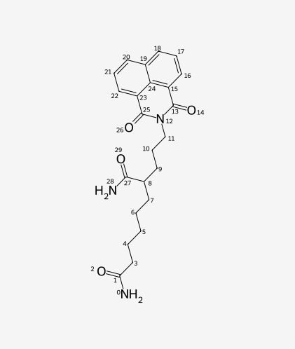 NC(=O)CCCCCC(CCCN1C(=O)c2cccc3cccc(c23)C1=O)C(N)=O